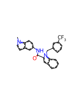 Cn1ccc2cc(NC(=O)c3cc4ccccc4n3Cc3cccc(C(F)(F)F)c3)ccc21